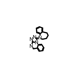 c1ccc2c(c1)CCCCN2c1nnc2ncc3ccccc3n12